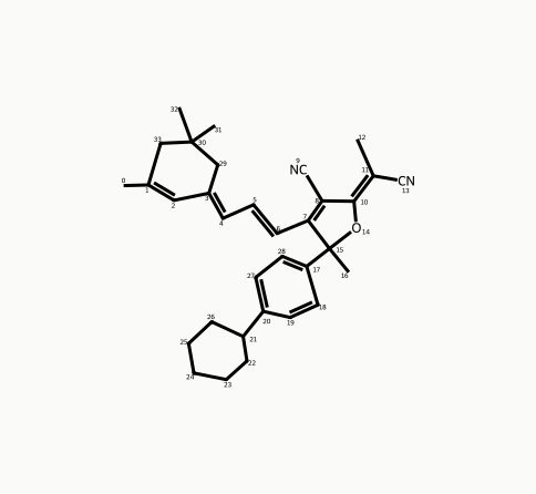 CC1=C/C(=C/C=C/C2=C(C#N)C(=C(\C)C#N)/OC2(C)c2ccc(C3CCCCC3)cc2)CC(C)(C)C1